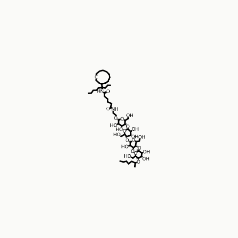 CCCCCC(C)O[C@@H]1C(CO)O[C@@H](O[C@@H]2C(CO)O[C@@H](O[C@@H]3C(CO)O[C@H](O[C@H]4C(CO)O[C@H](OCCNC(=O)CCCCC(=O)NC(CCC)(CCCCC)C5CCCCCCCCCCC5)C(O)C4O)C(O)C3O)C(O)C2O)C(O)C1O